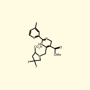 COC(=O)C1=C(CN2CC(F)(F)CC2C(=O)O)NC(c2cc(C)ccn2)=NC1